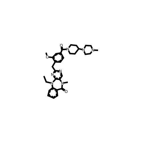 CCN1c2ccccc2C(=O)N(C)c2cnc(Cc3ccc(C(=O)N4CCC(N5CCN(C)CC5)CC4)cc3OC)nc21